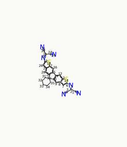 N#CC(C#N)=Nc1cc2cc3c(cc2s1)-c1cc2sc(N=C(C#N)C#N)cc2cc1C31CCCCC1